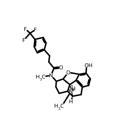 CN(C(=O)CCc1ccc(C(F)(F)F)cc1)C1CC[C@@]2(O)[C@H]3Cc4ccc(O)c5c4[C@@]2(CCN3C)C1O5